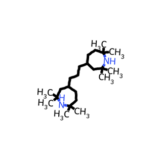 CC1(C)CCC(CCCC2CCC(C)(C)NC(C)(C)C2)CC(C)(C)N1